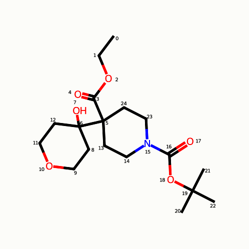 CCOC(=O)C1(C2(O)CCOCC2)CCN(C(=O)OC(C)(C)C)CC1